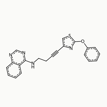 C(#Cc1csc(Oc2ccccc2)n1)CCNc1ncnc2ccccc12